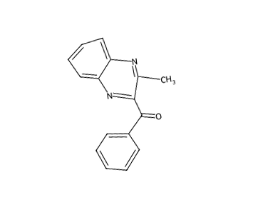 Cc1nc2ccccc2nc1C(=O)c1ccccc1